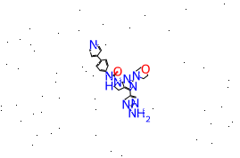 Nc1ncc(-c2nc(N3CCOCC3)nc3c2CCN3C(=O)Nc2ccc(-c3ccncc3)cc2)cn1